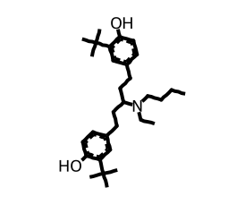 CCCCN(CC)C(CCc1ccc(O)c(C(C)(C)C)c1)CCc1ccc(O)c(C(C)(C)C)c1